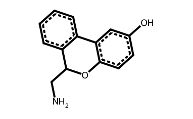 NCC1Oc2ccc(O)cc2-c2ccccc21